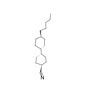 CCCCC[C@H]1CC[C@H]([C@H]2CC[C@H](C#N)CC2)CC1